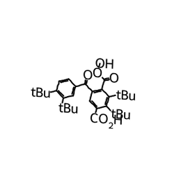 CC(C)(C)c1ccc(C(=O)c2cc(C(=O)O)c(C(C)(C)C)c(C(C)(C)C)c2C(=O)OO)cc1C(C)(C)C